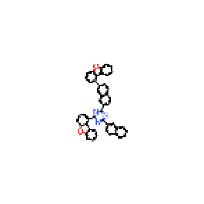 C1=CC2Oc3ccccc3C2C(c2nc(-c3ccc4ccccc4c3)nc(-c3ccc4ccc(-c5cccc6oc7ccccc7c56)cc4c3)n2)=C1